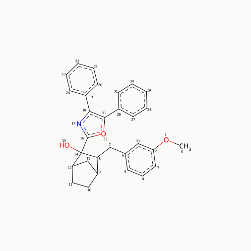 COc1cccc(CC2C3CCC(C3)C2(O)c2nc(-c3ccccc3)c(-c3ccccc3)o2)c1